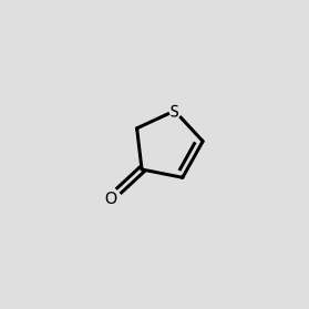 O=C1C=CSC1